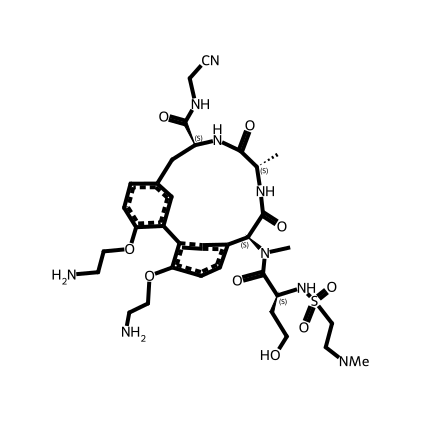 CNCCS(=O)(=O)N[C@@H](CCO)C(=O)N(C)[C@@H]1C(=O)N[C@@H](C)C(=O)N[C@H](C(=O)NCC#N)Cc2ccc(OCCN)c(c2)-c2cc1ccc2OCCN